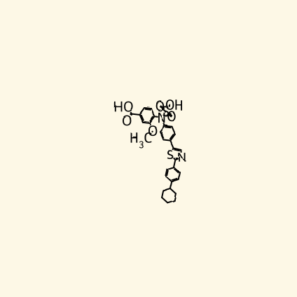 COc1cc(C(=O)O)ccc1N(c1ccc(-c2cnc(-c3ccc(C4CCCCC4)cc3)s2)cc1)S(=O)(=O)O